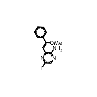 COC(=Cc1nc(I)cnc1N)c1ccccc1